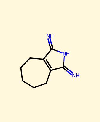 N=C1NC(=N)C2=C1CCCCC2